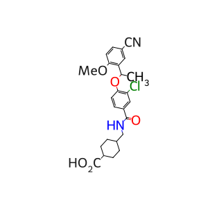 COc1ccc(C#N)cc1C(C)Oc1ccc(C(=O)NCC2CCC(C(=O)O)CC2)cc1Cl